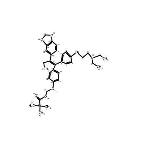 CC/C(=C(/c1ccc(OCCN(CC)CC)cc1)c1ccc(OCOC(=O)C(C)(C)C)cc1)c1ccc2c(c1)OCO2